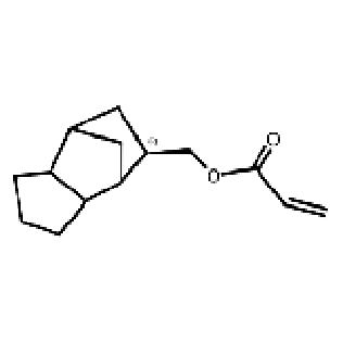 C=CC(=O)OC[C@@H]1CC2CC1C1CCCC21